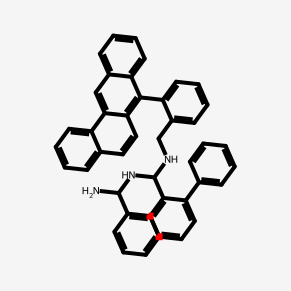 NC(NC(NCc1ccccc1-c1c2ccccc2cc2c1ccc1ccccc12)c1ccccc1-c1ccccc1)c1ccccc1